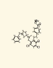 CN(Cc1c(Cl)cc(Cl)c(=O)n1CCc1ccc(C(=O)OC(C)(C)C)cc1)C1CCN(Cc2ccccc2)C1